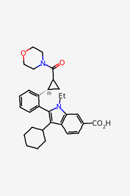 CCn1c(-c2ccccc2[C@H]2CC2C(=O)N2CCOCC2)c(C2CCCCC2)c2ccc(C(=O)O)cc21